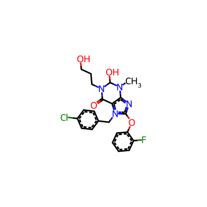 CN1c2nc(Oc3ccccc3F)n(Cc3ccc(Cl)cc3)c2C(=O)N(CCCO)C1O